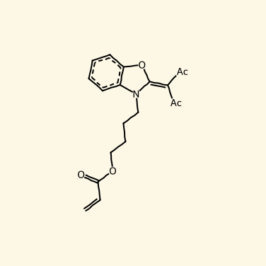 C=CC(=O)OCCCCN1C(=C(C(C)=O)C(C)=O)Oc2ccccc21